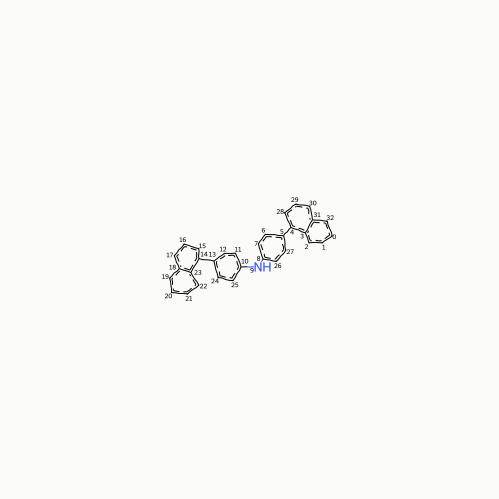 c1ccc2c(-c3ccc(Nc4ccc(-c5cccc6ccccc56)cc4)cc3)cccc2c1